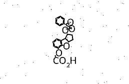 O=C(O)COc1cccc2c1OC1CCC(OS(=O)(=O)c3ccccc3)C21